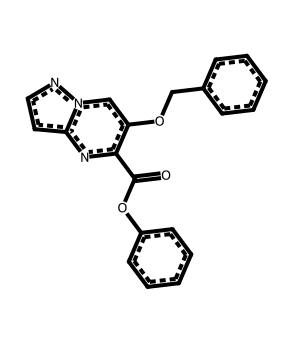 O=C(Oc1ccccc1)c1nc2ccnn2cc1OCc1ccccc1